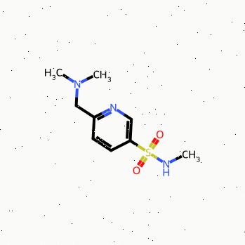 CNS(=O)(=O)c1ccc(CN(C)C)nc1